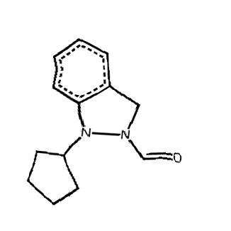 O=CN1Cc2ccccc2N1C1CCCC1